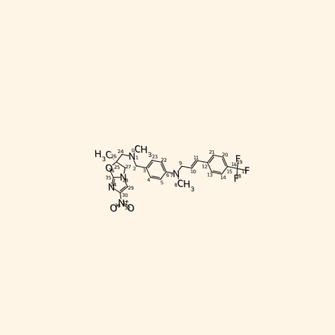 CN(Cc1ccc(N(C)C/C=C/c2ccc(C(F)(F)F)cc2)cc1)C[C@@]1(C)Cn2cc([N+](=O)[O-])nc2O1